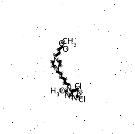 COC(=O)CCCN1CCN(CCCCCCn2c(C)nc3nc(Cl)nc(Cl)c32)CC1